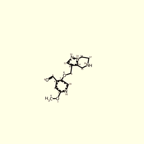 COc1cc(C=O)c(OCc2cnn3c2CNCC3)cn1